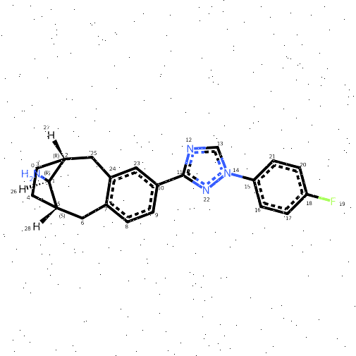 N[C@H]1[C@@H]2CC[C@H]1Cc1ccc(-c3ncn(-c4ccc(F)cc4)n3)cc1C2